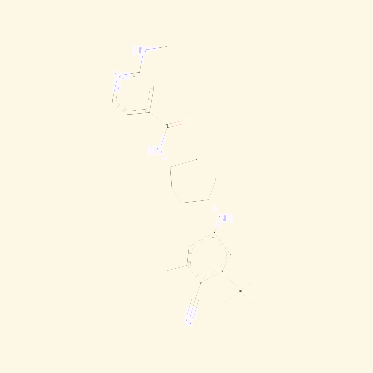 CNc1cc(C(=O)N[C@H]2CC[C@@H](Nc3cc(C)c(C#N)c(C(F)(F)F)c3)CC2)ccn1